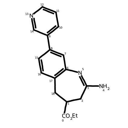 CCOC(=O)C1CC(N)=Nc2cc(-c3cccnc3)ccc2C1